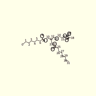 CCCCCCCC(=O)OCC(COCCOS(C)(=O)=O)COC(=O)CCCCCCC